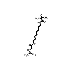 CC(C)NCC(=O)NCCCCCCCCNC(=O)C(C)(C)C